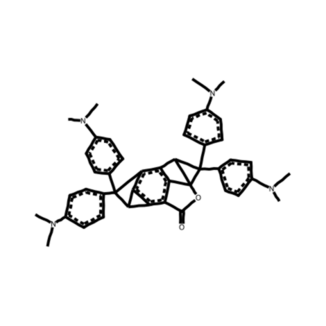 CN(C)c1ccc(C2(c3ccc(N(C)C)cc3)c3c4c(c5c6c3C3C6(OC5=O)C3(c3ccc(N(C)C)cc3)c3ccc(N(C)C)cc3)C42)cc1